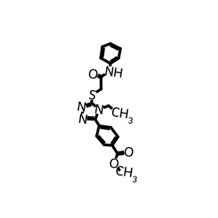 CCn1c(SCC(=O)Nc2ccccc2)nnc1-c1ccc(C(=O)OC)cc1